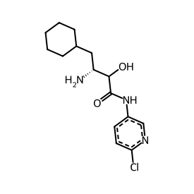 N[C@H](CC1CCCCC1)C(O)C(=O)Nc1ccc(Cl)nc1